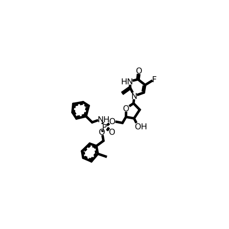 C=C1NC(=O)C(F)=CN1C1CC(O)C(COP(=O)(NCc2ccccc2)OCc2ccccc2C)O1